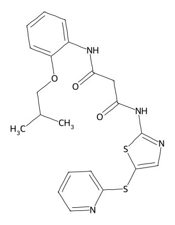 CC(C)COc1ccccc1NC(=O)CC(=O)Nc1ncc(Sc2ccccn2)s1